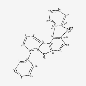 c1ccc(-c2cccc3c2sc2ccc4[nH]c5ccccc5c4c23)cc1